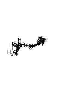 Cc1ncsc1-c1ccc(CNC(=O)[C@@H]2C[C@@H](O)CN2C(=O)[C@@H](NC(=O)CCOCCOCCOCCC(=O)N2CCN(c3ccc(-c4ccc5c(c4)C(=O)N(C(C(=O)Nc4nccs4)c4cc(F)ccc4O)C5)cc3)CC2)C(C)(C)C)cc1